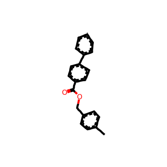 Cc1ccc(COC(=O)c2ccc(-c3cc[c]cc3)cc2)cc1